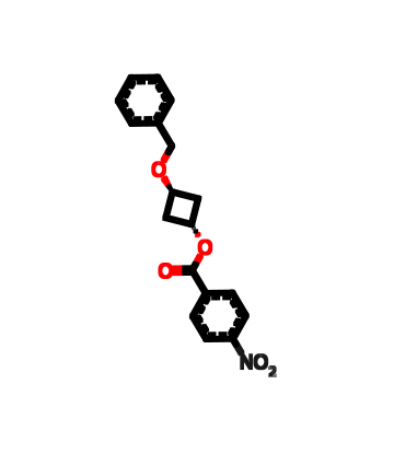 O=C(O[C@H]1C[C@H](OCc2ccccc2)C1)c1ccc([N+](=O)[O-])cc1